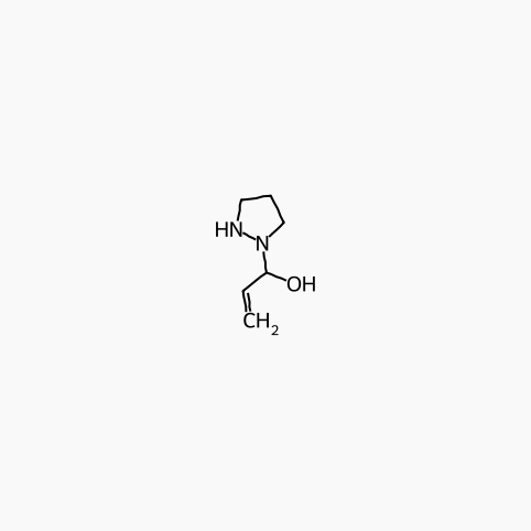 C=CC(O)N1CCCN1